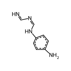 N=C/N=C\Nc1ccc(N)cc1